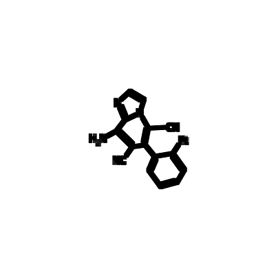 CCc1ccccc1-c1c(C#N)c(N)c2nccn2c1C#N